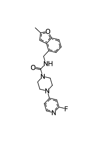 Cc1cc2c(CNC(=O)N3CCN(c4ccnc(F)c4)CC3)cccc2o1